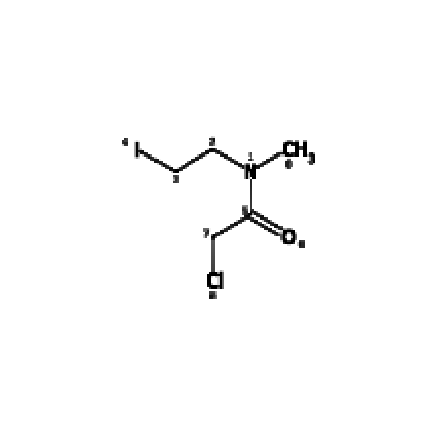 CN(CCI)C(=O)CCl